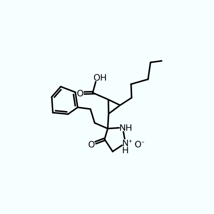 CCCCCC1C(C(=O)O)C1C1(CCc2ccccc2)N[NH+]([O-])CC1=O